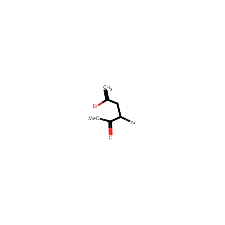 C=C(Br)CC(C(C)=O)C(=O)OC